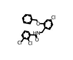 O=C(NCc1ccc(Cl)cc1OCc1ccccc1)c1cccc(Cl)c1Cl